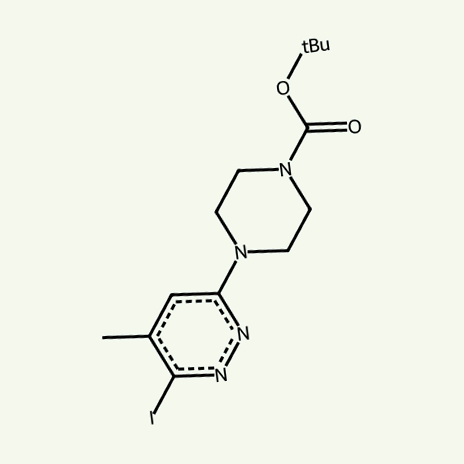 Cc1cc(N2CCN(C(=O)OC(C)(C)C)CC2)nnc1I